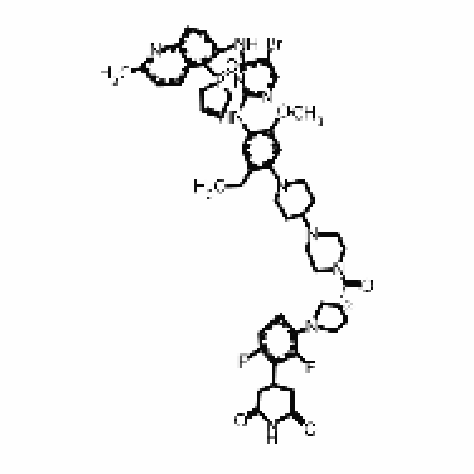 CCc1cc(Nc2ncc(Br)c(Nc3ccc4nc(C)ccc4c3P3(=O)CC=CC3)n2)c(OC)cc1N1CCC(N2CCN(C(=O)[C@@H]3CCN(c4ccc(F)c(C5CC(=O)NC(=O)C5)c4F)C3)CC2)CC1